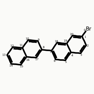 Brc1ccc2ccc(-c3ccc4ccccc4c3)cc2c1